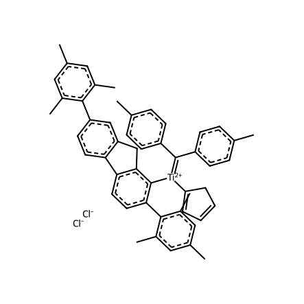 Cc1ccc([C](c2ccc(C)cc2)=[Ti+2]([C]2=CC=CC2)[c]2c(-c3c(C)cc(C)cc3C)ccc3c2Cc2cc(-c4c(C)cc(C)cc4C)ccc2-3)cc1.[Cl-].[Cl-]